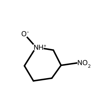 O=[N+]([O-])C1CCC[NH+]([O-])C1